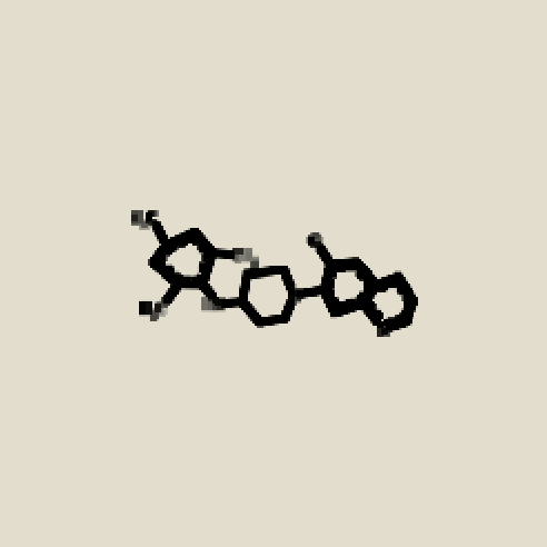 Cc1cc(C)c(NC2CCN(c3cc4ncccc4cc3[O])CC2)c(C)c1